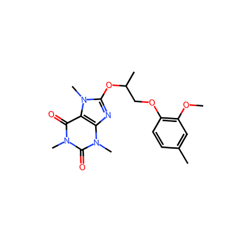 COc1cc(C)ccc1OCC(C)Oc1nc2c(c(=O)n(C)c(=O)n2C)n1C